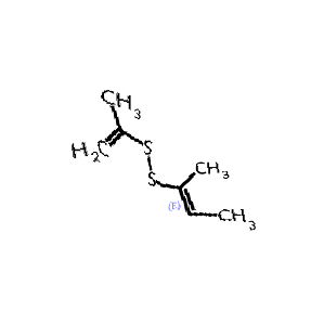 C=C(C)SS/C(C)=C/C